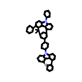 CC(C)(C)c1cccc2c1c1c(-c3ccccc3)cccc1n2-c1ccc(-c2cc3cc(c2)C(C)(C)c2c(-c4ccccc4)ccc4c2c2c-3cccc2n4-c2ccccc2)cc1